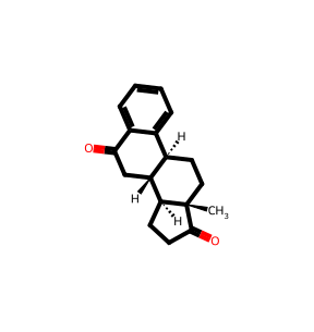 C[C@]12CC[C@@H]3c4ccccc4C(=O)C[C@H]3[C@@H]1CCC2=O